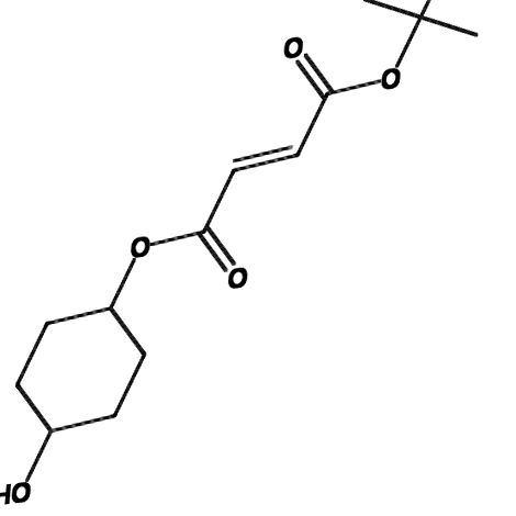 CC(C)(C)OC(=O)C=CC(=O)OC1CCC(O)CC1